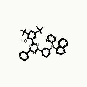 CC(C)(C)c1cc(-c2nc(-c3ccccc3)nc(-c3cccc(N(c4ccccn4)c4cccc5ccccc45)c3)n2)c(O)c(C(C)(C)C)c1